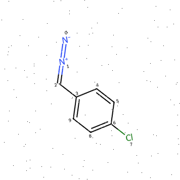 [N-]=[N+]=Cc1ccc(Cl)cc1